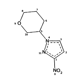 O=[N+]([O-])c1ccn(C2CCCOC2)n1